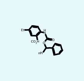 CCCC(OC(=O)Nc1ccc(CC)cc1C(=O)O)c1ccccc1